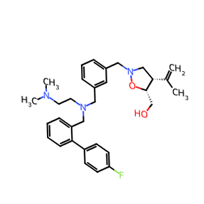 C=C(C)[C@H]1CN(Cc2cccc(CN(CCN(C)C)Cc3ccccc3-c3ccc(F)cc3)c2)O[C@H]1CO